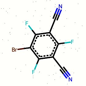 N#Cc1c(F)c(Br)c(F)c(C#N)c1F